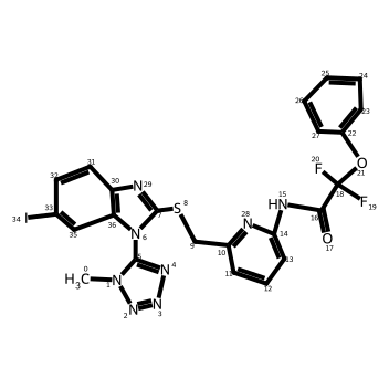 Cn1nnnc1-n1c(SCc2cccc(NC(=O)C(F)(F)Oc3ccccc3)n2)nc2ccc(I)cc21